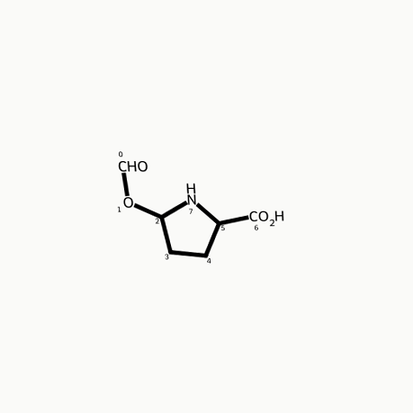 O=COC1CCC(C(=O)O)N1